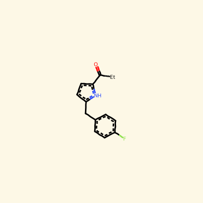 CCC(=O)c1ccc(Cc2ccc(F)cc2)[nH]1